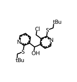 CC(C)(C)CSc1ncccc1C(O)c1ccnc(SCC(C)(C)C)c1CCl